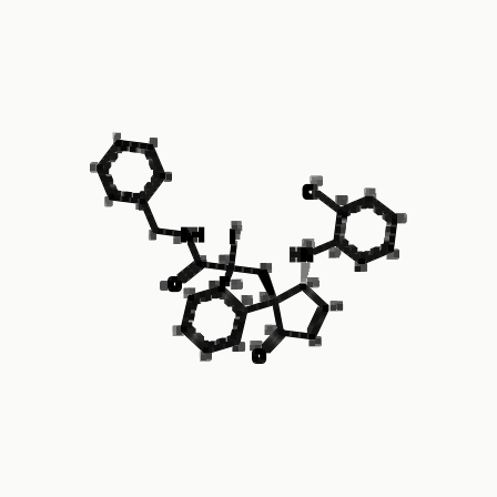 O=C(NCc1ccccc1)C(F)(F)C[C@]1(c2ccccc2)C(=O)C=C[C@H]1Nc1ccccc1Cl